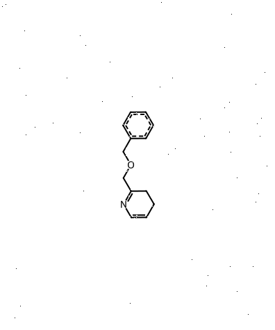 C1=CN=C(COCc2ccccc2)CC1